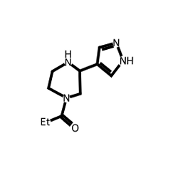 CCC(=O)N1CCNC(c2cn[nH]c2)C1